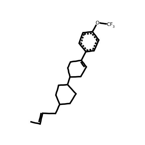 C/C=C/CC1CCC(C2CC=C(c3ccc(OC(F)(F)F)cc3)CC2)CC1